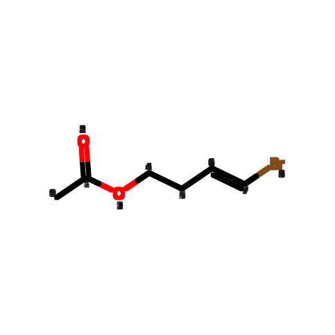 CC(=O)OCCC=CBr